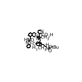 Cc1c(-c2cccnc2C(=O)O)c(N2CCc3cccc(C(=O)Nc4nc5ccccc5s4)c3C2)nn1CC12CC3(C)CC(C)(CC(CCCNC(=O)OC(C)(C)C)(C3)C1)C2